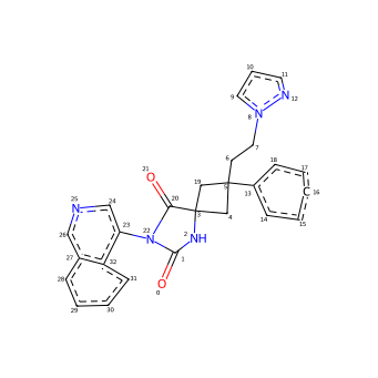 O=C1NC2(CC(CCn3cccn3)(c3ccccc3)C2)C(=O)N1c1cncc2ccccc12